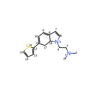 CN(C)CCN1C=CC2=CC=C(c3cccs3)CC21